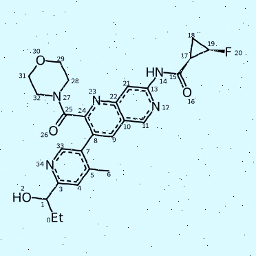 CCC(O)c1cc(C)c(-c2cc3cnc(NC(=O)[C@H]4C[C@H]4F)cc3nc2C(=O)N2CCOCC2)cn1